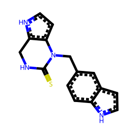 S=C1NCc2[nH]ccc2N1Cc1ccc2[nH]ccc2c1